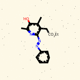 CCOC(=O)Cc1c(N=Nc2ccccc2)nc(C)c(O)c1C